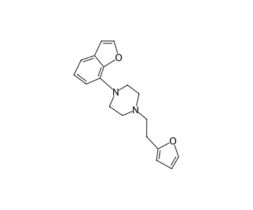 c1coc(CCN2CCN(c3cccc4ccoc34)CC2)c1